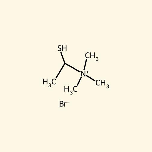 CC(S)[N+](C)(C)C.[Br-]